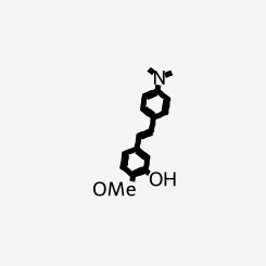 COc1ccc(C=Cc2ccc(N(C)C)cc2)cc1O